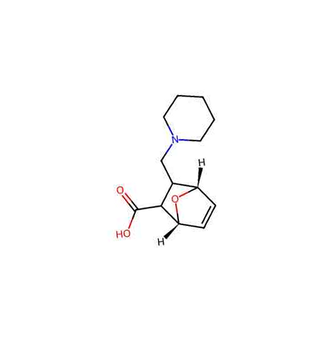 O=C(O)C1C(CN2CCCCC2)[C@@H]2C=C[C@H]1O2